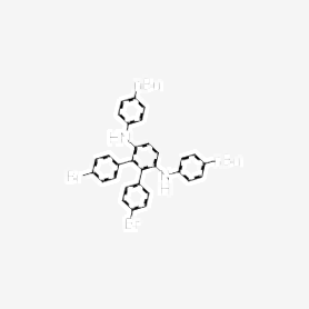 CCCCc1ccc(Nc2ccc(Nc3ccc(CCCC)cc3)c(-c3ccc(Br)cc3)c2-c2ccc(Br)cc2)cc1